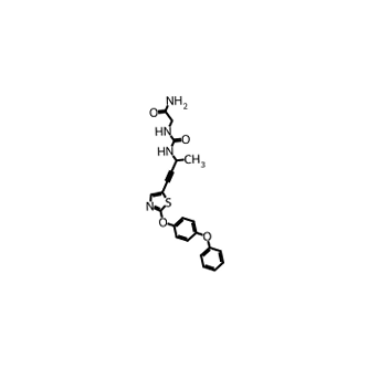 CC(C#Cc1cnc(Oc2ccc(Oc3ccccc3)cc2)s1)NC(=O)NCC(N)=O